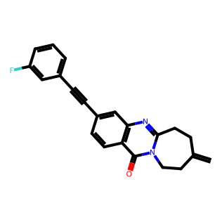 C=C1CCc2nc3cc(C#Cc4cccc(F)c4)ccc3c(=O)n2CC1